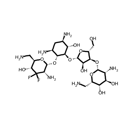 NC[C@@H]1O[C@H](O[C@H]2[C@@H](O)[C@H](O[C@@H]3[C@@H](O)[C@H](N)C[C@H](N)[C@H]3O[C@H]3O[C@H](CN)[C@@H](O)C(F)(F)[C@H]3N)O[C@@H]2CO)[C@H](N)[C@@H](O)[C@@H]1O